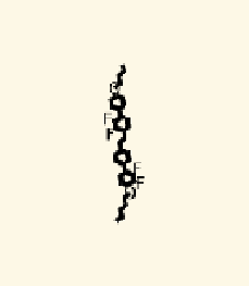 C=CCCCOc1ccc(-c2ccc(CCc3ccc(-c4ccc(OCCCC)cc4)c(F)c3F)cc2)c(F)c1F